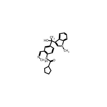 C/N=C\c1cc(C(O)(c2cn(C)c3ccccc23)C(F)(F)F)ccc1NC(=O)C1CCCC1